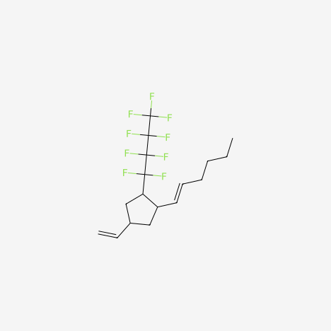 C=CC1CC(/C=C/CCCC)C(C(F)(F)C(F)(F)C(F)(F)C(F)(F)F)C1